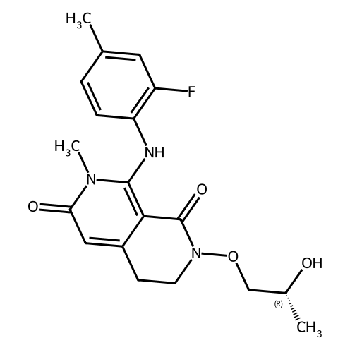 Cc1ccc(Nc2c3c(cc(=O)n2C)CCN(OC[C@@H](C)O)C3=O)c(F)c1